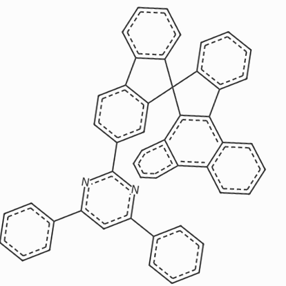 c1ccc(-c2cc(-c3ccccc3)nc(-c3ccc4c(c3)C3(c5ccccc5-4)c4ccccc4-c4c3c3ccccc3c3ccccc43)n2)cc1